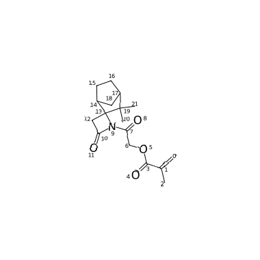 C=C(C)C(=O)OCC(=O)N1C(=O)CC12C1CCC(C1)C2(C)C